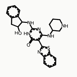 O=c1[nH]c(NC2c3ccccc3CC2O)nc(NC2CCCNC2)c1-c1nc2ccccc2s1